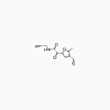 C#CCNC(=O)C(=O)c1cc(C=O)c(C)o1